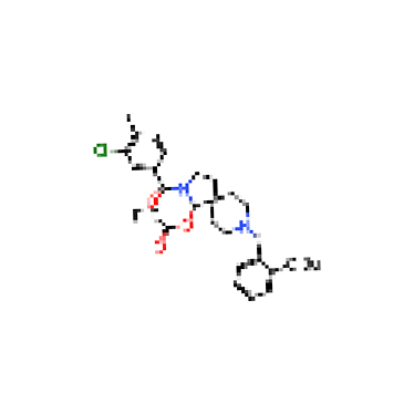 Cc1ccc(C(=O)N2CCC3(CCN(Cc4ccccc4OCC(C)C)CC3)C2OC(=O)C(F)(F)F)cc1Cl